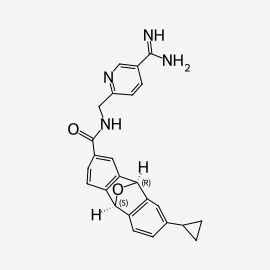 N=C(N)c1ccc(CNC(=O)c2ccc3c(c2)[C@@H]2O[C@H]3c3ccc(C4CC4)cc32)nc1